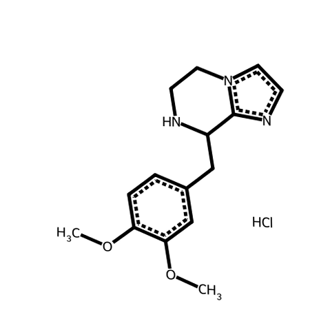 COc1ccc(CC2NCCn3ccnc32)cc1OC.Cl